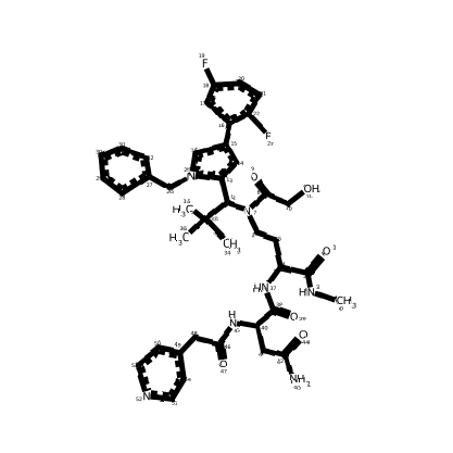 CNC(=O)C(CCN(C(=O)CO)C(c1cc(-c2cc(F)ccc2F)cn1Cc1ccccc1)C(C)(C)C)NC(=O)C(CC(N)=O)NC(=O)Cc1ccncc1